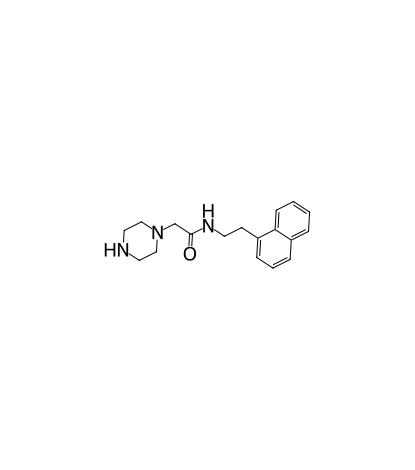 O=C(CN1CCNCC1)NCCc1cccc2ccccc12